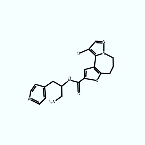 NCC(Cc1ccncc1)NC(=O)c1cc2c(s1)CCCn1ncc(Cl)c1-2